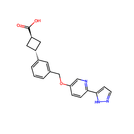 O=C(O)[C@H]1C[C@H](c2cccc(COc3ccc(-c4ccn[nH]4)nc3)c2)C1